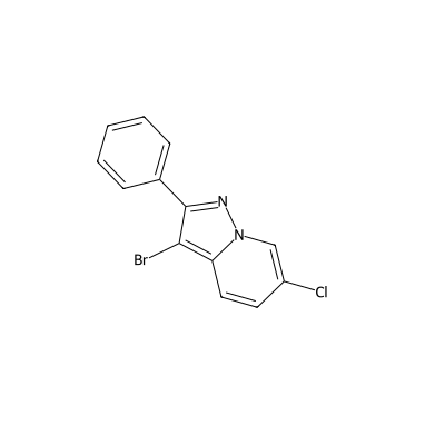 Clc1ccc2c(Br)c(-c3ccccc3)nn2c1